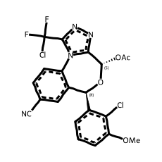 COc1cccc([C@@H]2O[C@@H](OC(C)=O)c3nnc(C(F)(F)Cl)n3-c3ccc(C#N)cc32)c1Cl